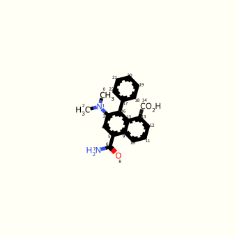 CN(C)c1cc(C(N)=O)c2cccc(C(=O)O)c2c1-c1ccccc1